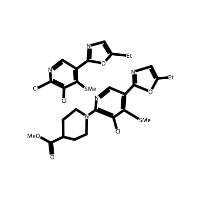 CCc1cnc(-c2cnc(Cl)c(Cl)c2SC)o1.CCc1cnc(-c2cnc(N3CCC(C(=O)OC)CC3)c(Cl)c2SC)o1